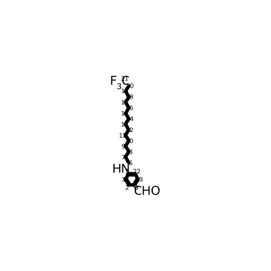 O=Cc1ccc(NCCCCCCCCCCCCCCCC(F)(F)F)cc1